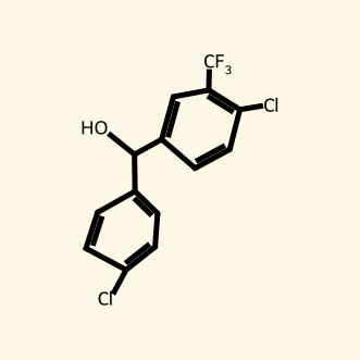 OC(c1ccc(Cl)cc1)c1ccc(Cl)c(C(F)(F)F)c1